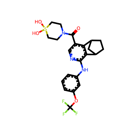 O=C(c1cnc(Nc2cccc(OC(F)(F)F)c2)c2c1C1CCC2C1)N1CCS(O)(O)CC1